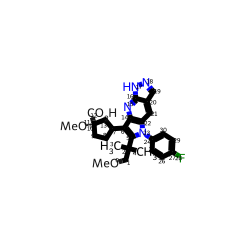 COCC(C)(C)c1c(C2CC[C@@](OC)(C(=O)O)C2)c2nc3[nH]ncc3cc2n1-c1ccc(F)cc1